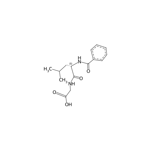 CC(C)C[C@H](NC(=O)c1ccccc1)C(=O)NCC(=O)O